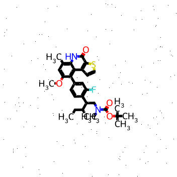 CCC(C)C(CN(C)C(=O)OC(C)(C)C)c1ccc(-c2c(OC)cc(C)c3[nH]c(=O)c4sccc4c23)cc1F